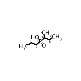 CCCP(=O)(O)C(C)CC